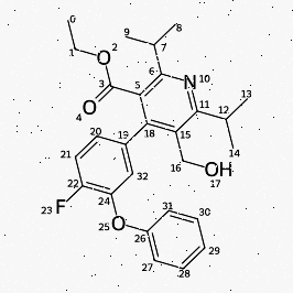 CCOC(=O)c1c(C(C)C)nc(C(C)C)c(CO)c1-c1ccc(F)c(Oc2ccccc2)c1